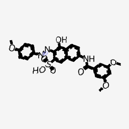 COc1ccc(/N=N/c2c(S(=O)(=O)O)cc3cc(NC(=O)c4cc(OC)cc(OC)c4)ccc3c2O)cc1